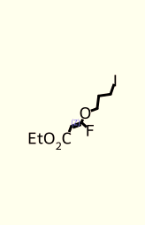 CCOC(=O)/C=C(\F)OCCCI